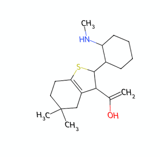 C=C(O)C1C2=C(CCC(C)(C)C2)SC1C1CCCCC1NC